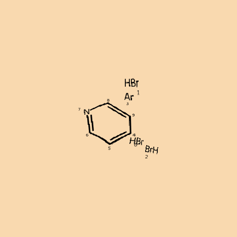 Br.Br.Br.[Ar].c1ccncc1